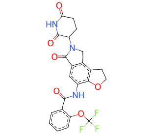 O=C1CCC(N2Cc3c(cc(NC(=O)c4ccccc4OC(F)(F)F)c4c3CCO4)C2=O)C(=O)N1